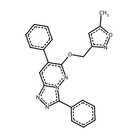 Cc1cc(COc2nn3c(-c4ccccc4)nnc3cc2-c2ccccc2)no1